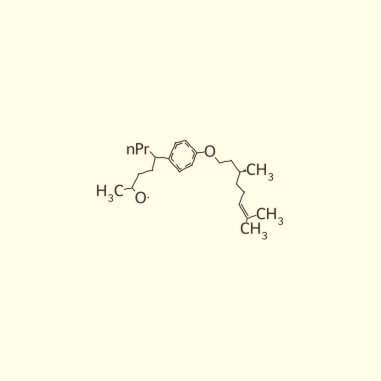 CCCC(CCC(C)[O])c1ccc(OCC[C@@H](C)CCC=C(C)C)cc1